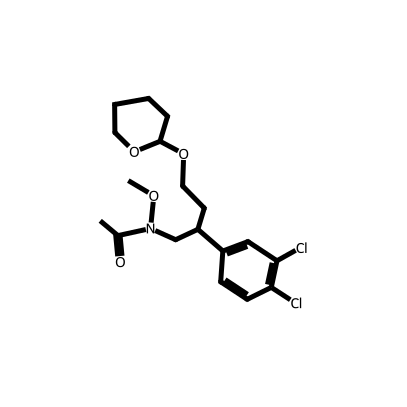 CON(CC(CCOC1CCCCO1)c1ccc(Cl)c(Cl)c1)C(C)=O